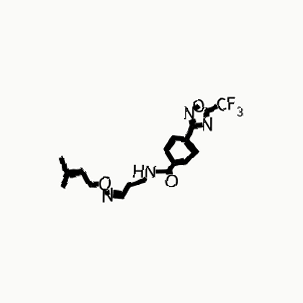 CC(C)=CCO/N=C\CCNC(=O)c1ccc(-c2noc(C(F)(F)F)n2)cc1